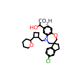 O=C(O)C(O)c1ccc2c(c1)N(CC1CCC1C1CCCCO1)CC1(CCc3cc(Cl)ccc31)CO2